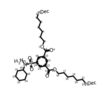 CCCCCCCCCCCCCCCCOC(=O)c1cc(C(=O)OCCCCCCCCCCCCCCCC)cc(S(=O)(=O)N(N)C2CCCCC2)c1